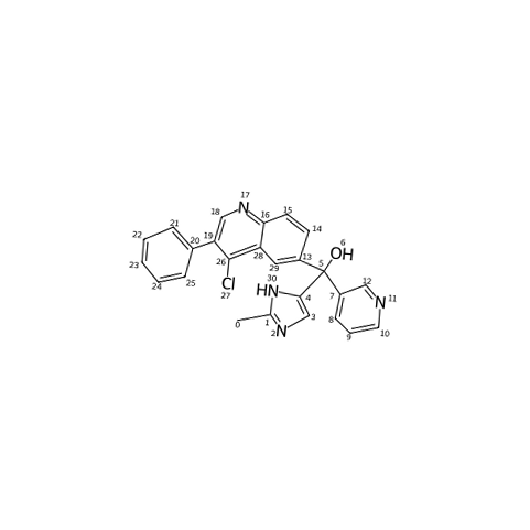 Cc1ncc(C(O)(c2cccnc2)c2ccc3ncc(-c4ccccc4)c(Cl)c3c2)[nH]1